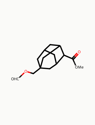 COC(=O)C1C2CC3CC1CC(COC=O)(C3)C2